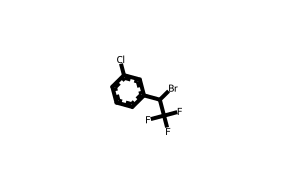 FC(F)(F)C(Br)c1cccc(Cl)c1